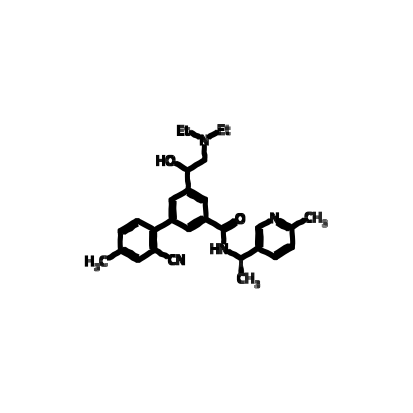 CCN(CC)CC(O)c1cc(C(=O)N[C@H](C)c2ccc(C)nc2)cc(-c2ccc(C)cc2C#N)c1